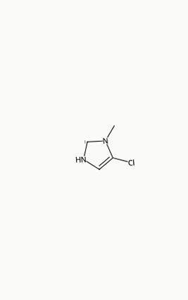 CN1[C]NC=C1Cl